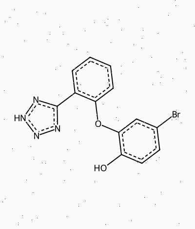 Oc1ccc(Br)cc1Oc1ccccc1-c1nn[nH]n1